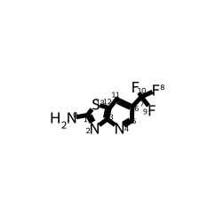 Nc1nc2ncc(C(F)(F)F)cc2s1